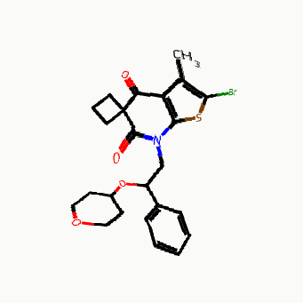 Cc1c(Br)sc2c1C(=O)C1(CCC1)C(=O)N2CC(OC1CCOCC1)c1ccccc1